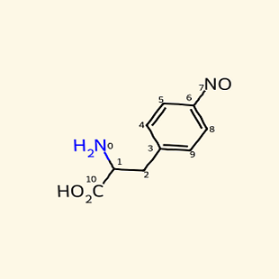 NC(Cc1ccc(N=O)cc1)C(=O)O